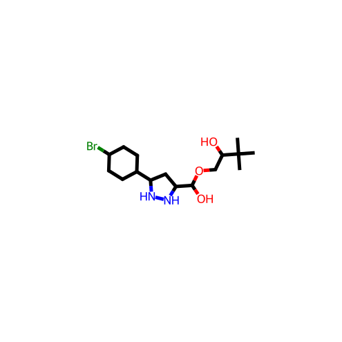 CC(C)(C)C(O)COC(O)C1CC(C2CCC(Br)CC2)NN1